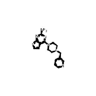 Nc1nc(N2CCN(Cc3cccnc3)CC2)c2ccsc2n1